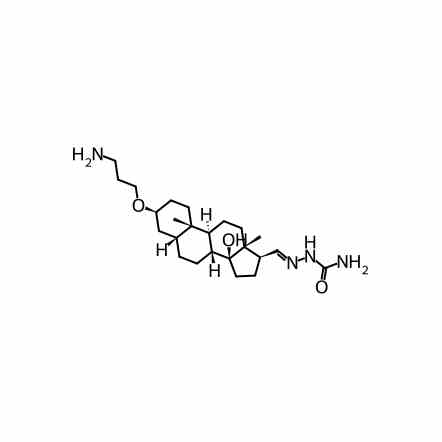 C[C@]12CC[C@H](OCCCN)C[C@H]1CC[C@@H]1[C@@H]2CC[C@]2(C)[C@@H](/C=N/NC(N)=O)CC[C@]12O